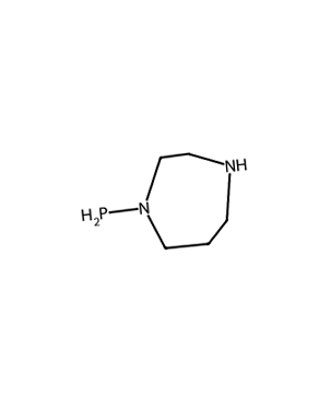 PN1CCCNCC1